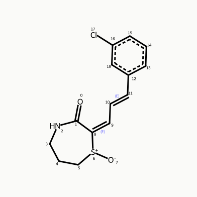 O=C1NCCC[S+]([O-])/C1=C/C=C/c1cccc(Cl)c1